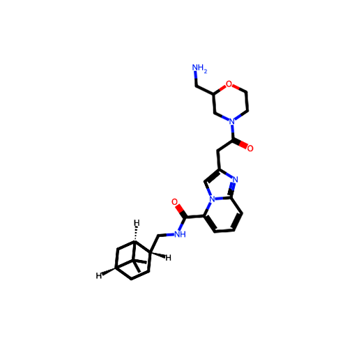 CC1(C)[C@@H]2CC[C@@H](CNC(=O)c3cccc4nc(CC(=O)N5CCOC(CN)C5)cn34)[C@@H]1C2